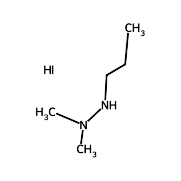 CCCNN(C)C.I